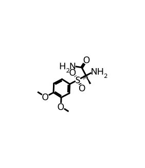 COc1ccc(S(=O)(=O)[C@@](C)(N)C(N)=O)cc1OC